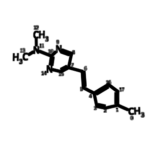 Cc1ccc(/C=C/c2cnc(N(C)C)nc2)cc1